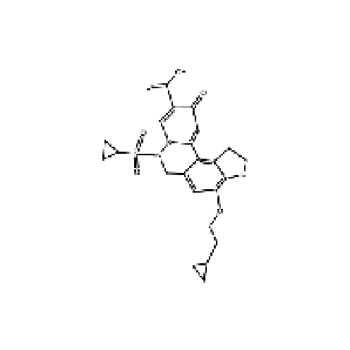 O=C(O)c1cn2c(cc1=O)-c1c(cc(OCCC3CC3)c3c1CCO3)CN2S(=O)(=O)C1CC1